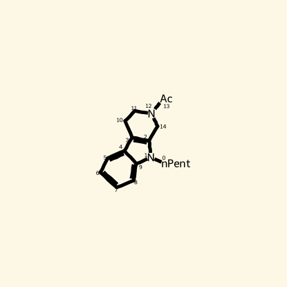 CCCCCn1c2c(c3ccccc31)CCN(C(C)=O)C2